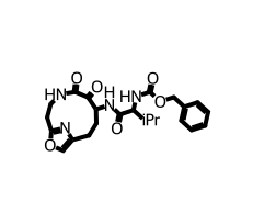 CC(C)C(NC(=O)OCc1ccccc1)C(=O)NC1CCc2coc(n2)CCNC(=O)C1=O